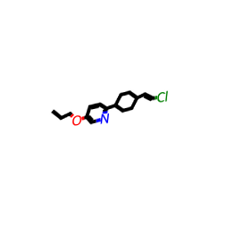 CCCOc1ccc(C2CCC(/C=C/Cl)CC2)nc1